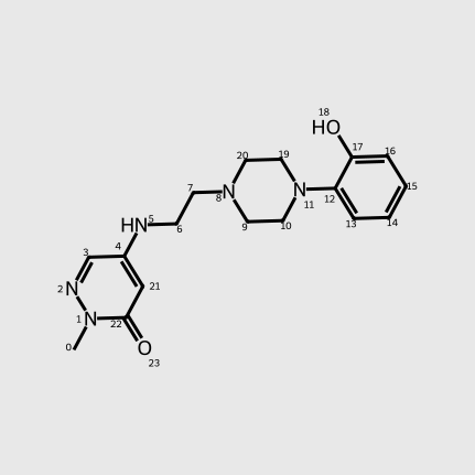 Cn1ncc(NCCN2CCN(c3ccccc3O)CC2)cc1=O